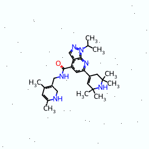 CC1=CC(C)=C(CNC(=O)c2cc(C3=CC(C)(C)NC(C)(C)C3)nc3c2cnn3C(C)C)CN1